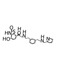 O=c1[nH]c2c(O)ccc([C@@H](O)CNCCc3cccc(CCNCc4ccccn4)c3)c2s1